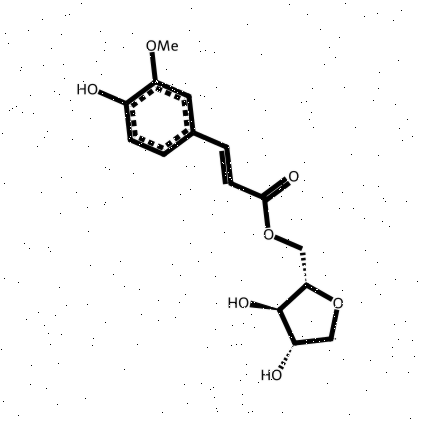 COc1cc(/C=C/C(=O)OC[C@@H]2O[CH][C@H](O)[C@H]2O)ccc1O